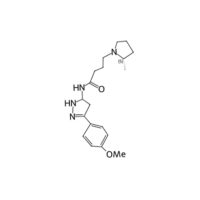 COc1ccc(C2=NNC(NC(=O)CCCN3CCC[C@@H]3C)C2)cc1